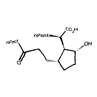 CCCCCC(=O)CC[C@H]1CC[C@@H](O)[C@@H]1[C@@H](CCCCC)C(=O)O